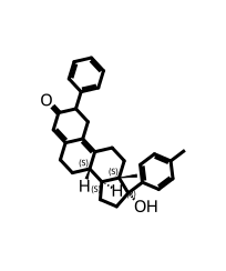 Cc1ccc([C@@]2(O)CC[C@H]3[C@@H]4CCC5=CC(=O)C(c6ccccc6)CC5=C4CC[C@@]32C)cc1